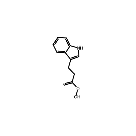 OOC(=S)CCc1c[nH]c2ccccc12